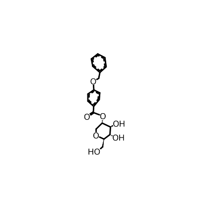 O=C(O[C@H]1CO[C@H](CO)[C@@H](O)[C@@H]1O)c1ccc(OCc2ccccc2)cc1